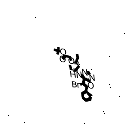 CC[C@@H](C[C@H](CC)OCC(=O)OC(C)(C)C)Nc1ncnc2oc(-c3ccccc3)c(Br)c12